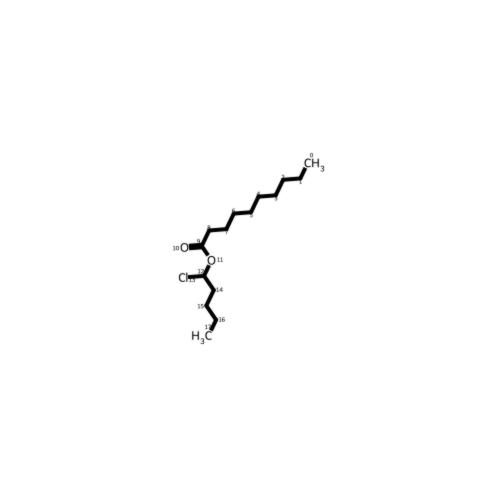 CCCCCCCCCC(=O)OC(Cl)CCCC